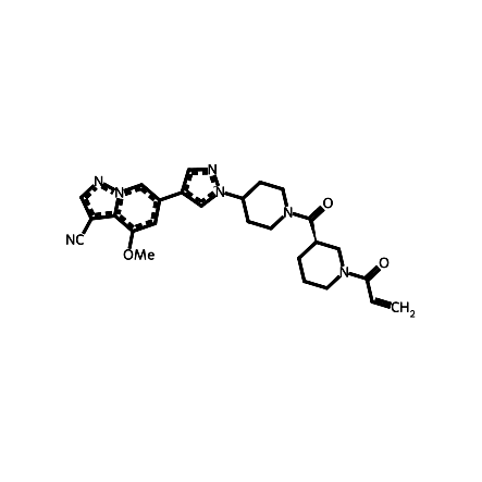 C=CC(=O)N1CCC[C@@H](C(=O)N2CCC(n3cc(-c4cc(OC)c5c(C#N)cnn5c4)cn3)CC2)C1